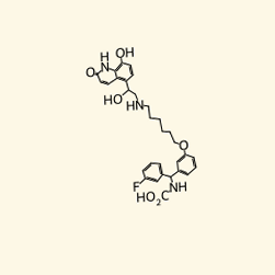 O=C(O)NC(c1cccc(F)c1)c1cccc(OCCCCCCNCC(O)c2ccc(O)c3[nH]c(=O)ccc23)c1